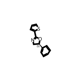 c1ccc([C@H]2CN=C(c3cccs3)O2)cc1